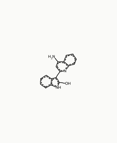 Nc1cc(-c2c(O)[nH]c3ccccc23)nc2ccccc12